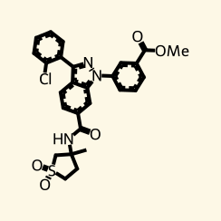 COC(=O)c1cccc(-n2nc(-c3ccccc3Cl)c3ccc(C(=O)NC4(C)CCS(=O)(=O)C4)cc32)c1